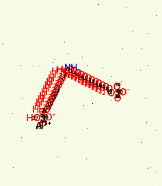 N.O.O.O.O.O.O.O.O.O.O.O.O.O.O.O.O.O.O.O.O.O.O.O.O.O=S(=O)([O-])O.O=S(=O)([O-])[O-].[Al+3]